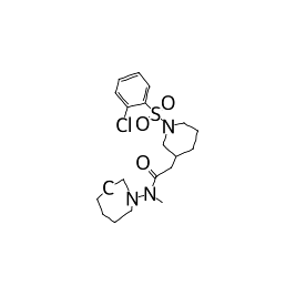 CN(C(=O)CC1CCCN(S(=O)(=O)c2ccccc2Cl)C1)N1CCCCCC1